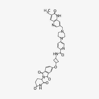 CCc1cc2ncc(CN3CCN(c4ccc(C(=O)NC5CC(Oc6ccc7c(c6)C(=O)N([C@@H]6CCC(=O)NC6=O)C7=O)C5)nc4)CC3)cc2[nH]c1=O